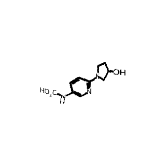 O=C(O)Nc1ccc(N2CCC(O)C2)nc1